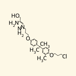 Cc1cc(C(C)(C)c2ccc(OCCCN(N)/C=C(\N)CO)cc2)ccc1OCCCCl